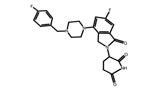 O=C1CCC(N2Cc3c(cc(F)cc3N3CCN(Cc4ccc(F)cc4)CC3)C2=O)C(=O)N1